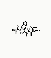 CC(C)[C@H](NC(=O)Nc1cc(F)ccc1F)C(=O)N(CC(=O)NO)CC1CCCC1